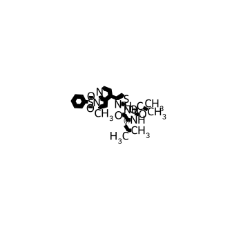 Cc1cc2c(-c3csc(NC(=O)[C@@H](CC(C)C)NC(=O)OC(C)(C)C)n3)ccnc2n1S(=O)(=O)c1ccccc1